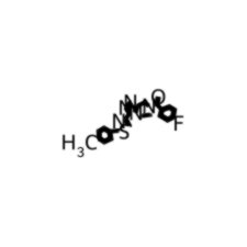 Cc1ccc(-c2nc(-c3nnc4n3CCN(C(=O)c3ccc(F)cc3)C4)cs2)cc1